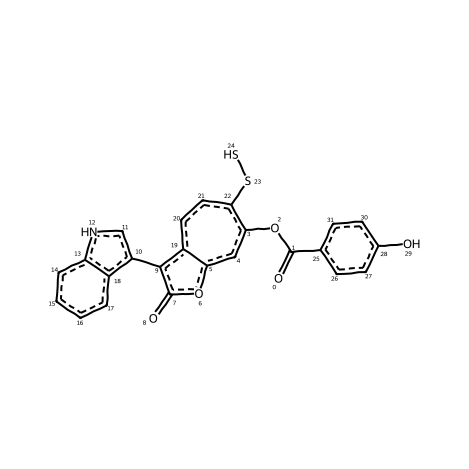 O=C(Oc1cc2oc(=O)c(-c3c[nH]c4ccccc34)c-2ccc1SS)c1ccc(O)cc1